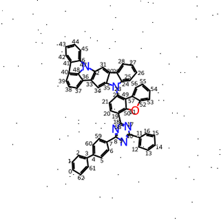 c1ccc(-c2ccc(-c3nc(-c4ccccc4)nc(-c4ccc(-n5c6ccccc6c6cc7c(cc65)c5cccc6c8ccccc8n7c65)c5c4oc4ccccc45)n3)cc2)cc1